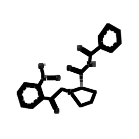 O=C(NC(=O)[C@@H]1CCCN1CC(=O)c1ccccc1[N+](=O)[O-])c1ccccc1